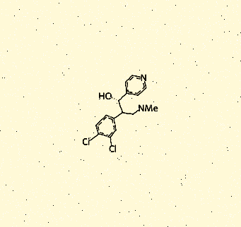 CNCC(c1ccc(Cl)c(Cl)c1)[C@H](O)c1ccncc1